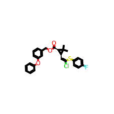 CC1(C)[C@H](C(=O)OCc2cccc(Oc3ccccc3)c2)[C@@H]1/C=C(/Cl)Sc1ccc(F)cc1